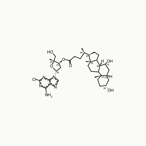 C[C@H](CCC(=O)O[C@H]1C[C@H](n2cnc3c(N)nc(Cl)nc32)O[C@]1(C)CO)[C@H]1CCC2[C@H]3C(CC[C@@]21C)[C@@]1(C)CC[C@@H](O)C[C@H]1C[C@@H]3O